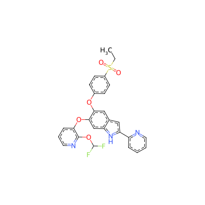 CCS(=O)(=O)c1ccc(Oc2cc3cc(-c4ccccn4)[nH]c3cc2Oc2cccnc2OC(F)F)cc1